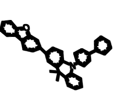 CC1(C)c2ccccc2N(c2ccc(-c3ccccc3)cc2)c2ccc(-c3ccc4c(c3)oc3ccccc34)cc21